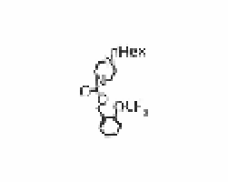 [CH2]CCCCCN1CCN(C(=O)OCc2ccccc2OC(F)(F)F)CC1